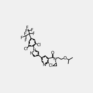 CC(C)OCCN(C(=O)c1cc(-c2cnn(-c3c(Cl)cc(C(F)(C(F)(F)F)C(F)(F)F)cc3Cl)c2)cnc1Cl)C1CC1